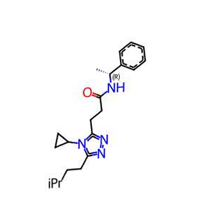 CC(C)CCc1nnc(CCC(=O)N[C@H](C)c2ccccc2)n1C1CC1